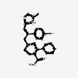 COC(=O)c1ccc(CC(=Cc2ncc(C)[nH]2)c2ccc(F)cc2)cc1-c1ccccc1